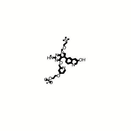 CNc1nc(OCc2cc(OCCOS(C)(=O)=O)ccn2)c2c(-c3ccc4ncc(O)cc4c3)cn(COCC[Si](C)(C)C)c2n1